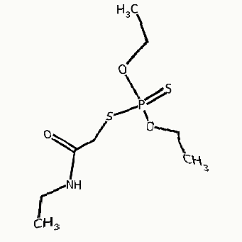 CCNC(=O)CSP(=S)(OCC)OCC